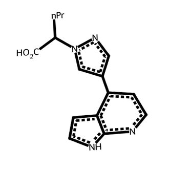 CCCC(C(=O)O)n1cc(-c2ccnc3[nH]ccc23)cn1